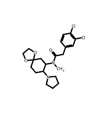 CN(C(=O)Cc1ccc(Cl)c(Cl)c1)C1CC2(CCC1N1CCCC1)OCCO2